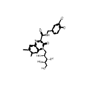 Cc1cc2nc(C(=O)NCc3ccc(Cl)c(Cl)c3)c(=O)n(C[C@H](O)[C@H](O)[C@H](O)CO)c2cc1C